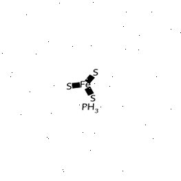 P.[S]=[Fe](=[S])=[S]